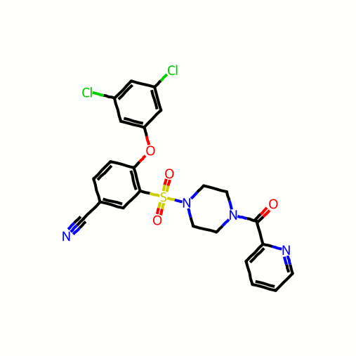 N#Cc1ccc(Oc2cc(Cl)cc(Cl)c2)c(S(=O)(=O)N2CCN(C(=O)c3ccccn3)CC2)c1